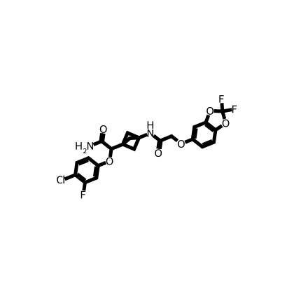 NC(=O)C(Oc1ccc(Cl)c(F)c1)C12CC(NC(=O)COc3ccc4c(c3)OC(F)(F)O4)(C1)C2